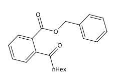 CCCCCCC(=O)c1ccccc1C(=O)OCc1ccccc1